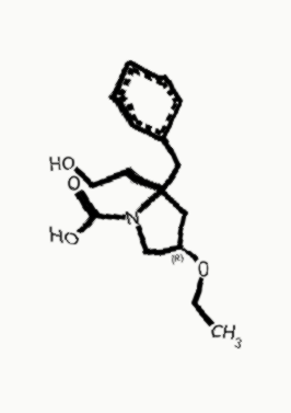 CCO[C@H]1CN(C(=O)O)C(CCO)(Cc2ccccc2)C1